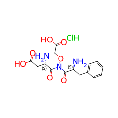 Cl.N[C@@H](CC(=O)O)C(=O)N(OCC(=O)O)C(=O)[C@@H](N)Cc1ccccc1